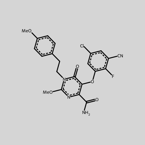 COc1ccc(CCn2c(OC)nc(C(N)=O)c(Oc3cc(Cl)cc(C#N)c3F)c2=O)cc1